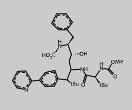 COC(=O)N[C@H](C(=O)NC(C[C@@H](O)[C@H](Cc1ccccc1)NC(=O)O)C(c1ccc(-c2ccccn2)cc1)C(C)(C)C)C(C)(C)C